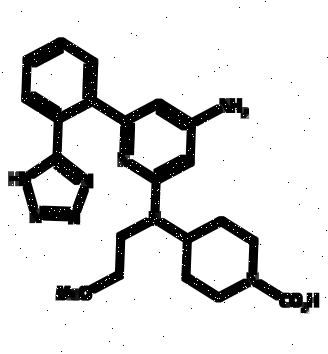 COCCN(c1cc(N)cc(-c2ccccc2-c2nnn[nH]2)n1)C1CCN(C(=O)O)CC1